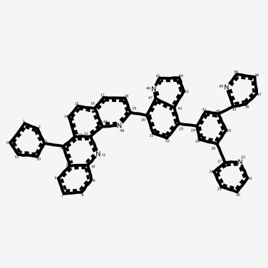 c1ccc(-c2c3ccccc3nc3c2ccc2ccc(-c4ccc(-c5cc(-c6ccccn6)cc(-c6ccccn6)c5)c5cccnc45)nc23)cc1